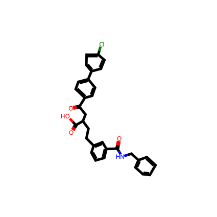 O=C(CC(CCc1cccc(C(=O)NCc2ccccc2)c1)C(=O)O)c1ccc(-c2ccc(Cl)cc2)cc1